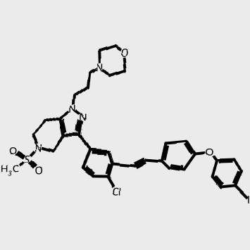 CS(=O)(=O)N1CCc2c(c(-c3ccc(Cl)c(C#Cc4ccc(Oc5ccc(I)cc5)cc4)c3)nn2CCCN2CCOCC2)C1